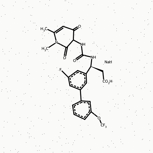 CC1=CC(=O)C(NC(=O)N[C@@H](CC(=O)O)c2cc(F)cc(-c3cccc(OC(F)(F)F)c3)c2)C(=O)N1C.[NaH]